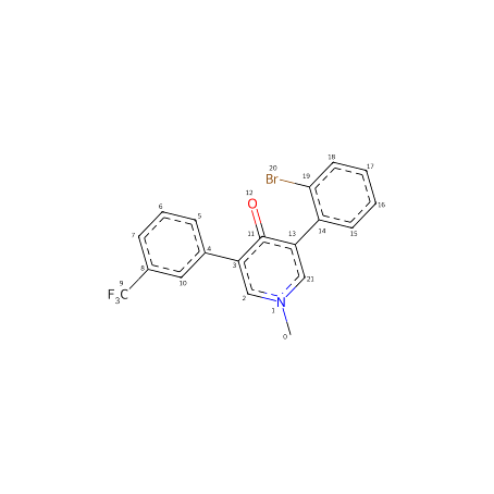 Cn1cc(-c2cccc(C(F)(F)F)c2)c(=O)c(-c2ccccc2Br)c1